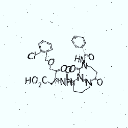 O=C(O)C[C@H](NC(=O)[C@@H]1CCCN2C(=O)CCN(NC(=O)c3ccccc3)C(=O)N12)C(=O)COCc1ccccc1Cl